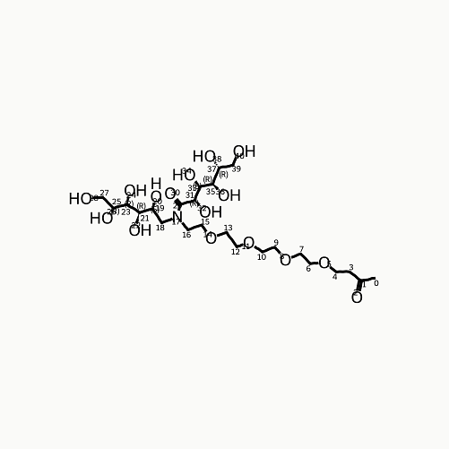 CC(=O)CCOCCOCCOCCOCCN(C[C@H](O)[C@@H](O)[C@H](O)[C@H](O)CO)C(=O)[C@H](O)[C@@H](O)[C@H](O)[C@H](O)CO